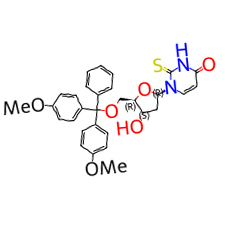 COc1ccc(C(OC[C@H]2O[C@@H](n3ccc(=O)[nH]c3=S)C[C@@H]2O)(c2ccccc2)c2ccc(OC)cc2)cc1